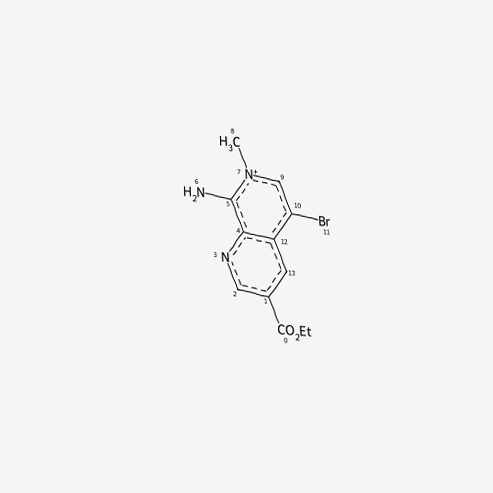 CCOC(=O)c1cnc2c(N)[n+](C)cc(Br)c2c1